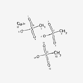 CS(=O)(=O)[O-].CS(=O)(=O)[O-].CS(=O)(=O)[O-].[Ga+3]